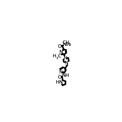 CNC(=O)c1ccc(N2CCN(Cc3ccnc(NC(=O)C4CCCN4)c3)CC2)c(C)n1